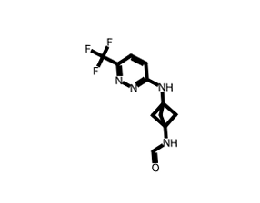 O=CNC12CC(Nc3ccc(C(F)(F)F)nn3)(C1)C2